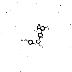 CCOc1cc(-c2ccc(N3C[C@@H](N)[C@H](Oc4ccc(OC)nc4)C3)nc2)c2c(C#N)cnn2c1